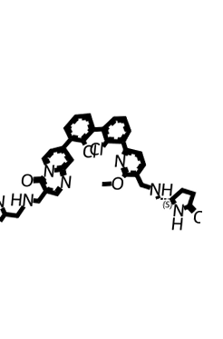 COc1nc(-c2cccc(-c3cccc(-c4ccn5c(=O)c(CNCC(C)N)cnc5c4)c3Cl)c2Cl)ccc1CNC[C@@H]1CCC(=O)N1